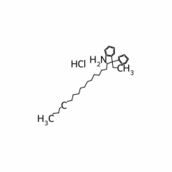 CCCCCCCCCCCCCCCCCC(N)C(CC)(c1ccccc1)c1ccccc1.Cl